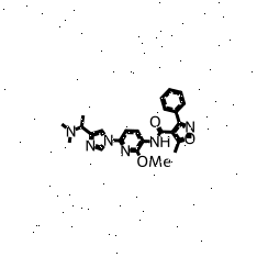 COc1nc(-n2cnc(C(C)N(C)C)c2)ccc1NC(=O)c1c(-c2ccccc2)noc1C